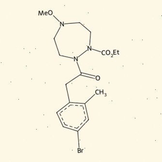 CCOC(=O)N1CCN(OC)CCN1C(=O)Cc1ccc(Br)cc1C